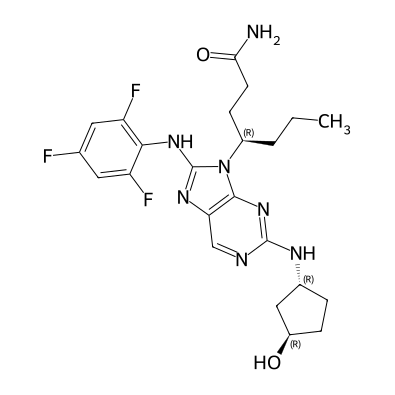 CCC[C@H](CCC(N)=O)n1c(Nc2c(F)cc(F)cc2F)nc2cnc(N[C@@H]3CC[C@@H](O)C3)nc21